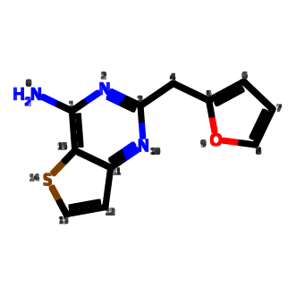 Nc1nc(Cc2ccco2)nc2ccsc12